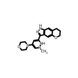 CN1C=C(N2CCOCC2)C=C(c2n[nH]c3cc4c(cc23)OCCC4)N1